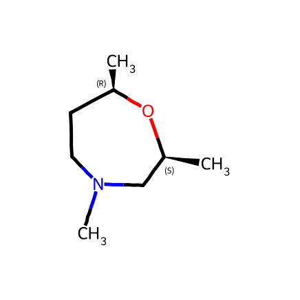 C[C@@H]1CCN(C)C[C@H](C)O1